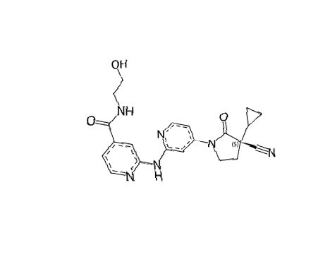 N#C[C@@]1(C2CC2)CCN(c2ccnc(Nc3cc(C(=O)NCCO)ccn3)c2)C1=O